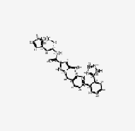 CCCc1cc(C(=O)N[C@@H](CC(=O)O)Cc2ccsc2)nn1Cc1ccc(-c2ccccc2-c2nnn[nH]2)nc1